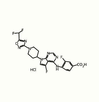 Cl.O=C(O)c1ccc(Nc2ncnc3c2c(F)cn3C2CCN(c3noc(C(F)F)n3)CC2)c(F)c1